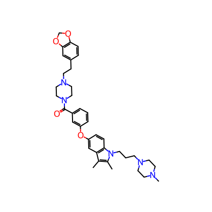 Cc1c(C)n(CCCN2CCN(C)CC2)c2ccc(Oc3cccc(C(=O)N4CCN(CCc5ccc6c(c5)OCO6)CC4)c3)cc12